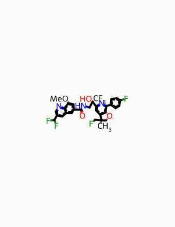 COc1cc(C(=O)NC[C@](O)(c2cc3c(c(-c4ccc(F)cc4)n2)OC[C@]3(C)CF)C(F)(F)F)cc2cc(C(F)F)cnc12